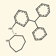 c1ccc(C(c2ccccc2)c2cccc(N[C@@H]3CCCCCN3)c2)cc1